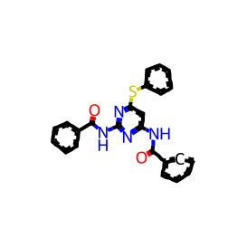 O=C(Nc1cc(Sc2ccccc2)nc(NC(=O)c2ccccc2)n1)c1ccccc1